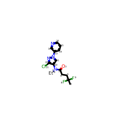 CCN(C(=O)CCC(C)(F)F)c1cn(-c2cccnc2)nc1Cl